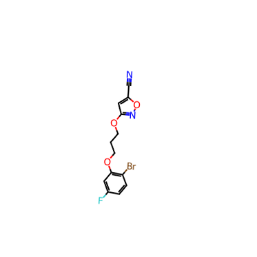 N#Cc1cc(OCCCOc2cc(F)ccc2Br)no1